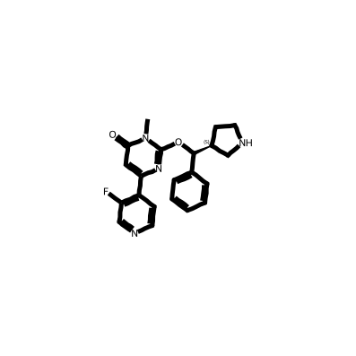 Cn1c(OC(c2ccccc2)[C@H]2CCNC2)nc(-c2ccncc2F)cc1=O